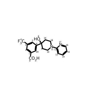 O=C(O)c1cc(C(F)(F)F)cc(C2(O)CCN(c3ccccn3)CC2)c1